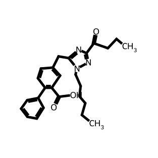 CCCCCCn1nc(C(=O)CCC)nc1Cc1ccc(-c2ccccc2)c(C(=O)O)c1